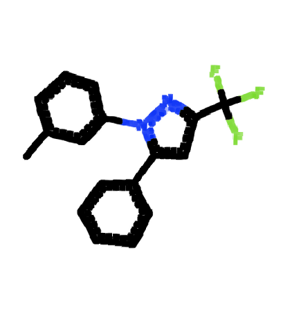 Cc1cccc(-n2nc(C(F)(F)F)cc2-c2ccccc2)c1